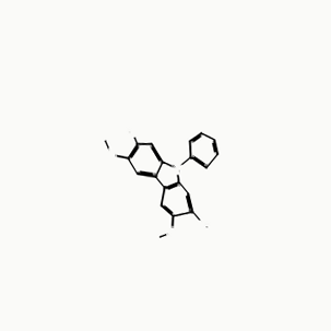 COc1cc2c3cc(OC)c(Br)cc3n(-c3ccccc3)c2cc1Br